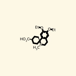 CCOc1cc2c(cc1OCC)[C@]1(CC[C@H](C(=O)O)CC1)N(C)CC2